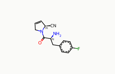 N#C[C@@H]1C=CCN1C(=O)[C@@H](N)Cc1ccc(F)cc1